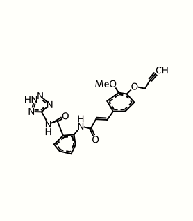 C#CCOc1ccc(C=CC(=O)Nc2ccccc2C(=O)Nc2nn[nH]n2)cc1OC